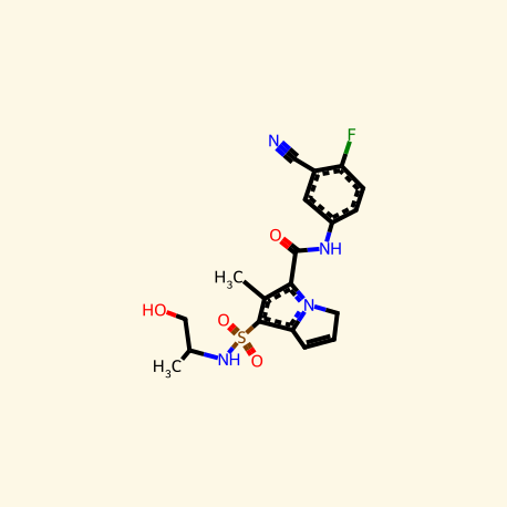 Cc1c(S(=O)(=O)NC(C)CO)c2n(c1C(=O)Nc1ccc(F)c(C#N)c1)CC=C2